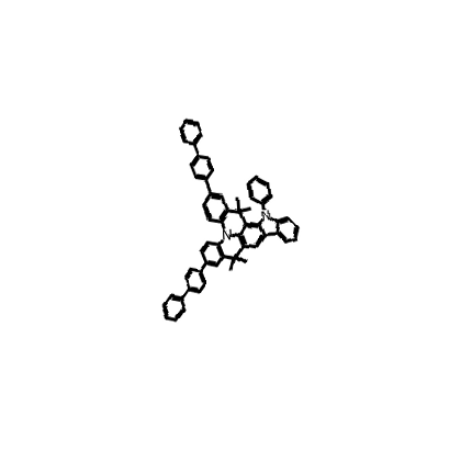 CC1(C)c2cc(-c3ccc(-c4ccccc4)cc3)ccc2N2c3ccc(-c4ccc(-c5ccccc5)cc4)cc3C(C)(C)c3c2c1cc1c2ccccc2n(-c2ccccc2)c31